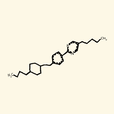 CCCCCc1cnc(-c2ccc(CCC3CCC(CCCC)CC3)cc2)nc1